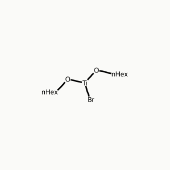 CCCCCC[O][Ti]([Br])[O]CCCCCC